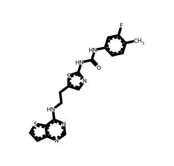 Cc1ccc(NC(=O)Nc2ncc(CCNc3ncnc4ccsc34)s2)cc1F